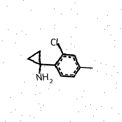 Cc1ccc(C2(N)CC2)c(Cl)c1